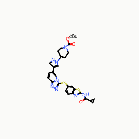 CC(C)(C)OC(=O)N1CCC(n2cc(-c3ccc4nnc(Sc5ccc6nc(NC(=O)C7CC7)sc6c5)n4c3)cn2)CC1